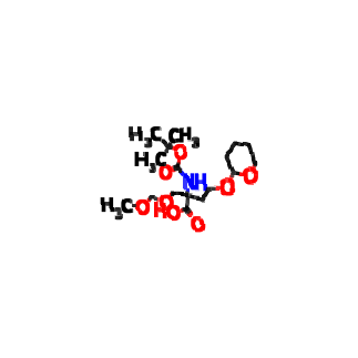 COCOCC(CCOC1CCCCO1)(NC(=O)OC(C)(C)C)C(=O)O